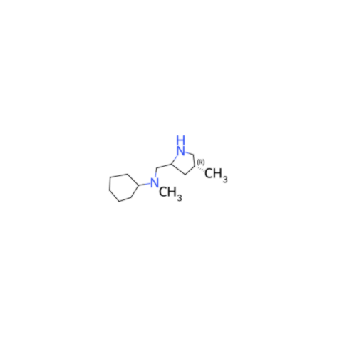 C[C@H]1CNC(CN(C)C2CCCCC2)C1